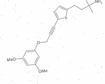 [CH2]C(C)(N)CCc1ccc(C#CCOc2cc(OC)cc(OC)c2)s1